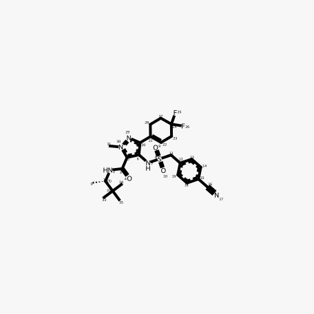 C[C@H](NC(=O)c1c(NS(=O)(=O)Cc2ccc(C#N)cc2)c(C2=CCC(F)(F)CC2)nn1C)C(C)(C)C